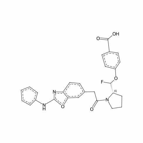 O=C(O)c1ccc(OC(F)[C@@H]2CCCN2C(=O)Cc2ccc3nc(Nc4ccccc4)oc3c2)cc1